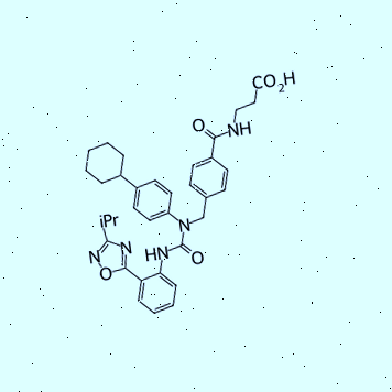 CC(C)c1noc(-c2ccccc2NC(=O)N(Cc2ccc(C(=O)NCCC(=O)O)cc2)c2ccc(C3CCCCC3)cc2)n1